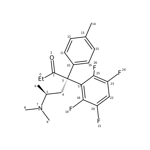 CCC(=O)[C@@](C[C@H](C)N(C)C)(c1ccc(C)cc1)c1c(F)c(F)cc(F)c1F